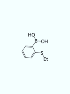 CCSc1ccccc1B(O)O